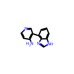 Nc1ccncc1-c1cccc2[nH]cnc12